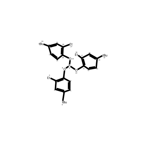 CCc1cc(C(C)(C)C)ccc1OP(Oc1ccc(C(C)(C)C)cc1CC)Oc1ccc(C(C)(C)C)cc1CC